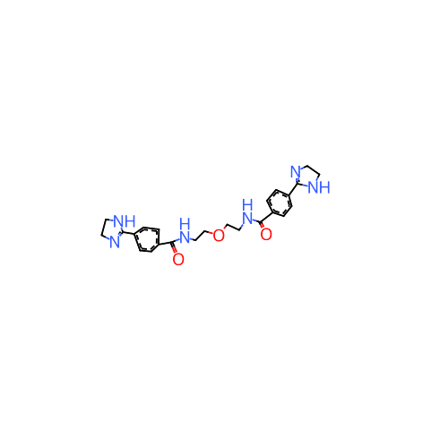 O=C(NCCOCCNC(=O)c1ccc(C2=NCCN2)cc1)c1ccc(C2=NCCN2)cc1